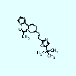 CC(C)(C)c1cnc(CSC2CCC(c3nccs3)N(C(N)=O)C2)o1